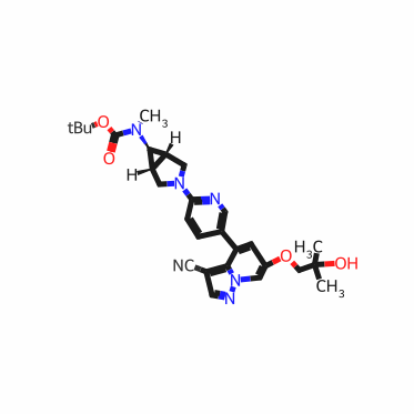 CN(C(=O)OC(C)(C)C)[C@H]1[C@@H]2CN(c3ccc(-c4cc(OCC(C)(C)O)cn5ncc(C#N)c45)cn3)C[C@@H]21